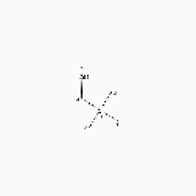 C[Si](C)(C)[CH2][Sn]